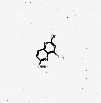 COc1ccc2nc(Br)cc(N)c2n1